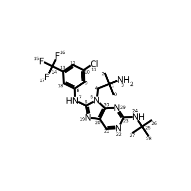 CC(C)(N)Cn1c(Nc2cc(Cl)cc(C(F)(F)F)c2)nc2cnc(NC(C)(C)C)nc21